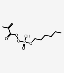 C=C(C)C(=O)OOP(=O)(O)OCCCCCC